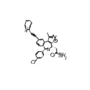 Cc1noc2c1-c1cc(C#Cc3ccccn3)ccc1C(c1ccc(Cl)cc1)=N[C@H]2CC(N)=O